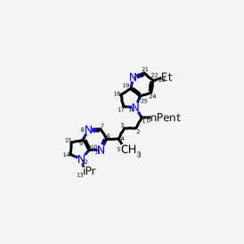 CCCCCC(CCC(C)c1cnc2c(n1)N(C(C)C)CC2)N1CCc2ncc(CC)cc21